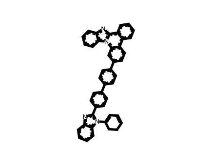 C1=CCCC(n2c(-c3ccc(-c4ccc(-c5ccc6c7ccccc7c7nc8ccccc8n7c6c5)cc4)cc3)nc3ccccc32)=C1